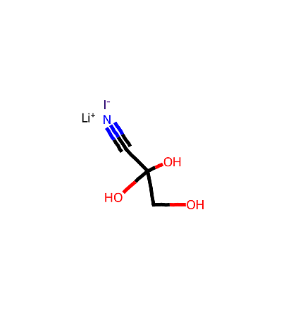 N#CC(O)(O)CO.[I-].[Li+]